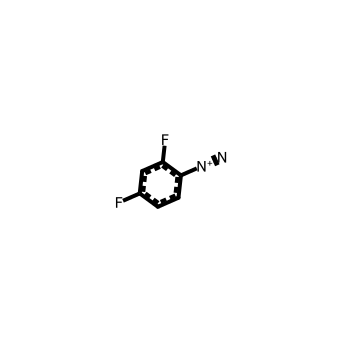 N#[N+]c1ccc(F)cc1F